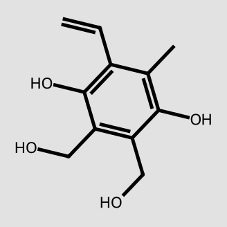 C=Cc1c(C)c(O)c(CO)c(CO)c1O